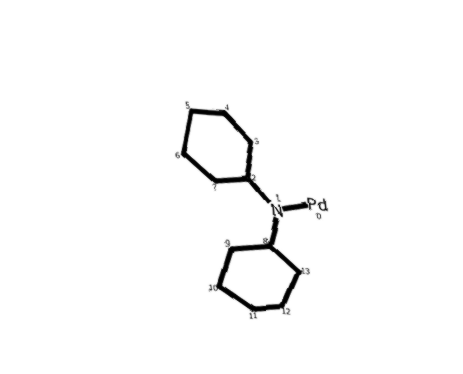 [Pd][N](C1CCCCC1)C1CCCCC1